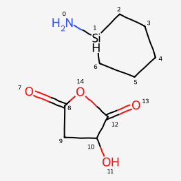 N[SiH]1CCCCC1.O=C1CC(O)C(=O)O1